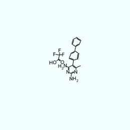 Cc1nc(N)nc(N)c1-c1ccc(-c2ccccc2)cc1.O=C(O)C(F)(F)F